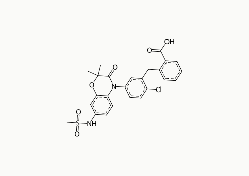 CC1(C)Oc2cc(NS(C)(=O)=O)ccc2N(c2ccc(Cl)c(Cc3ccccc3C(=O)O)c2)C1=O